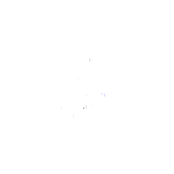 CC(CO)Oc1ccccc1.NS(=O)(=O)O